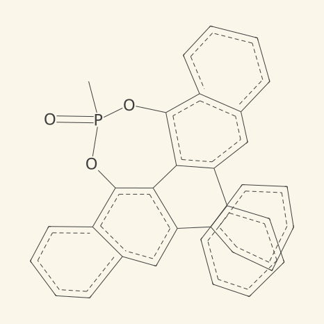 CP1(=O)Oc2c(c(-c3ccccc3)cc3ccccc23)-c2c(-c3ccccc3)cc3ccccc3c2O1